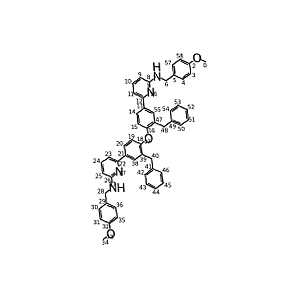 COc1ccc(CNc2cccc(-c3ccc(Oc4ccc(-c5cccc(NCc6ccc(OC)cc6)n5)cc4Cc4ccccc4)c(Cc4ccccc4)c3)n2)cc1